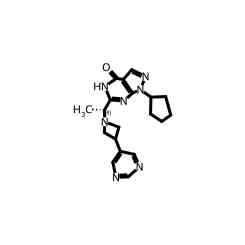 C[C@H](c1nc2c(cnn2C2CCCC2)c(=O)[nH]1)N1CC(c2cncnc2)C1